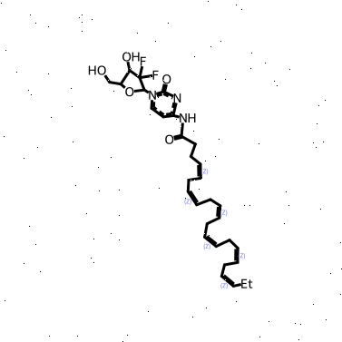 CC/C=C\C/C=C\C/C=C\C/C=C\C/C=C\C/C=C\CCC(=O)Nc1ccn(C2OC(CO)C(O)C2(F)F)c(=O)n1